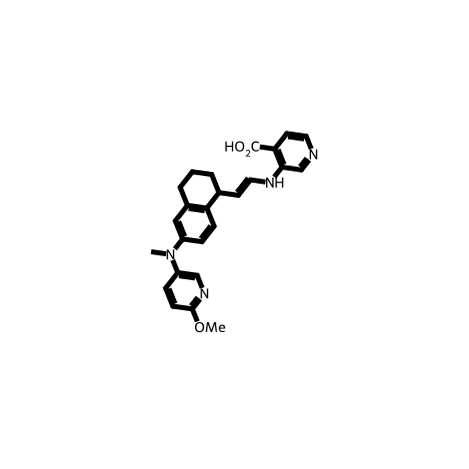 COc1ccc(N(C)c2ccc3c(c2)CCCC3/C=C/Nc2cnccc2C(=O)O)cn1